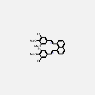 CCc1cc(/C=C/c2cccc3cccc(/C=C/c4cc(CC)c(OC)c(OC)c4)c23)cc(CC)c1OC